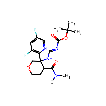 CN(C)C(=O)C1CCOCC1(NC=NC(=O)OC(C)(C)C)c1ncc(F)cc1F